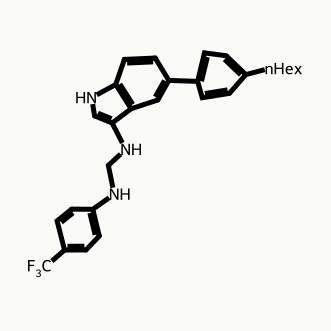 CCCCCCc1ccc(-c2ccc3[nH]cc(NCNc4ccc(C(F)(F)F)cc4)c3c2)cc1